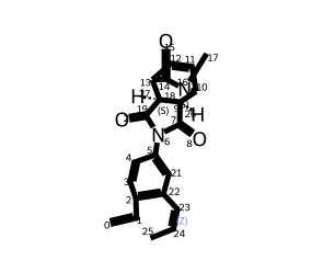 C=Cc1ccc(N2C(=O)[C@@H]3C4C=CC(C(=O)N4C)[C@@H]3C2=O)cc1/C=C\C